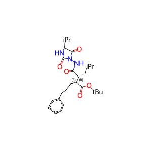 CC(C)C[C@@H](C(=O)NN1C(=O)NC(C(C)C)C1=O)[C@H](CCCc1ccccc1)C(=O)OC(C)(C)C